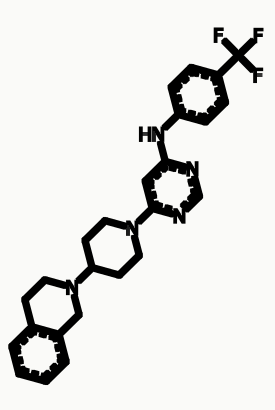 FC(F)(F)c1ccc(Nc2cc(N3CCC(N4CCc5ccccc5C4)CC3)ncn2)cc1